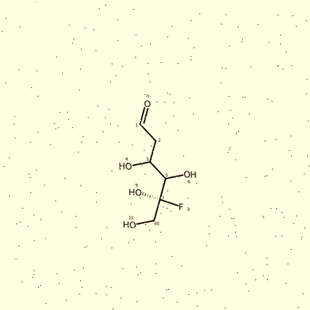 O=CCC(O)C(O)[C@@](O)(F)CO